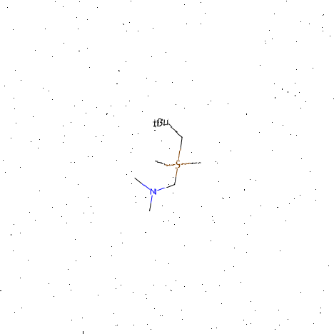 CN(C)CS(C)(C)CC(C)(C)C